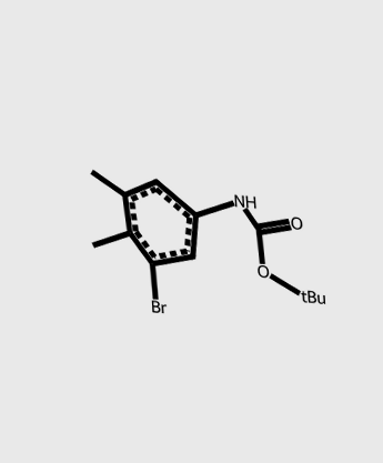 Cc1cc(NC(=O)OC(C)(C)C)cc(Br)c1C